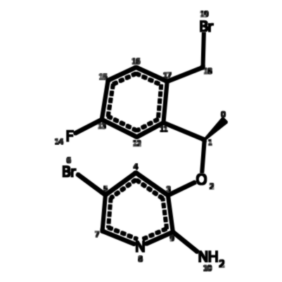 C[C@@H](Oc1cc(Br)cnc1N)c1cc(F)ccc1CBr